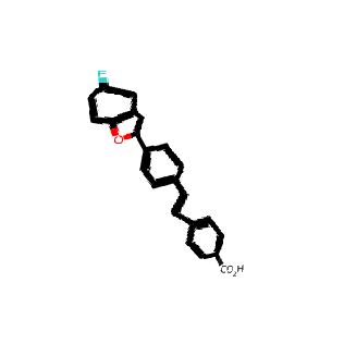 O=C(O)c1ccc(C=Cc2ccc(-c3cc4cc(F)ccc4o3)cc2)cc1